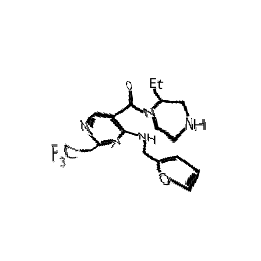 CCC1CNCCN1C(=O)c1cnc(C(F)(F)F)nc1NCc1ccco1